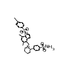 Cc1ccc(S(=O)(=O)n2ccc3c(CN4CCCCC4c4ccc(S(N)(=O)=O)cc4)c(C)cc(C)c32)cc1